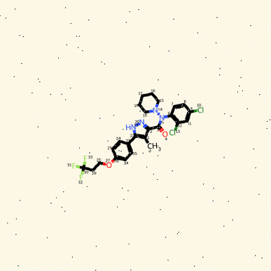 Cc1c(C(=O)N(c2ccc(Cl)cc2Cl)N2CCCCC2)n[nH]c1-c1ccc(OCCC(F)(F)F)cc1